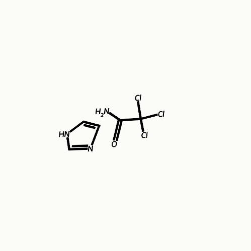 NC(=O)C(Cl)(Cl)Cl.c1c[nH]cn1